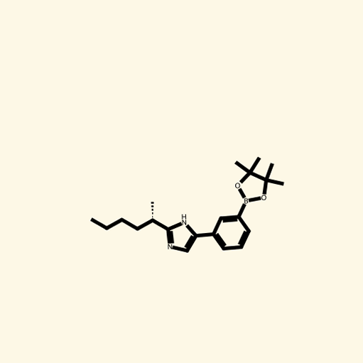 CCCC[C@H](C)c1ncc(-c2cccc(B3OC(C)(C)C(C)(C)O3)c2)[nH]1